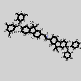 Cc1cc(C)cc(B(c2cc(C)cc(C)c2)c2ccc3c(c2)C(C)(C)c2cc(/C=C/c4ccc5c(c4)C(C)(C)c4cc(B(c6ccccc6)c6ccccc6)ccc4-5)ccc2-3)c1